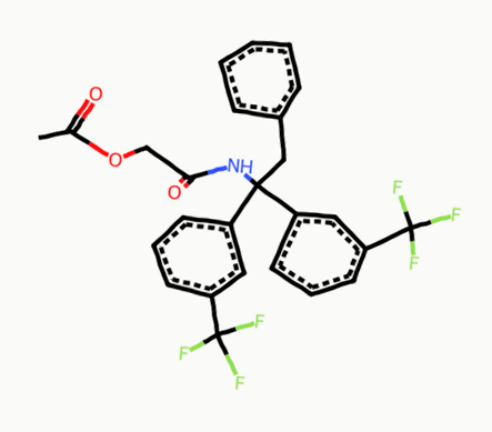 CC(=O)OCC(=O)NC(Cc1ccccc1)(c1cccc(C(F)(F)F)c1)c1cccc(C(F)(F)F)c1